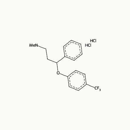 CNCCC(Oc1ccc(C(F)(F)F)cc1)c1ccccc1.Cl.Cl